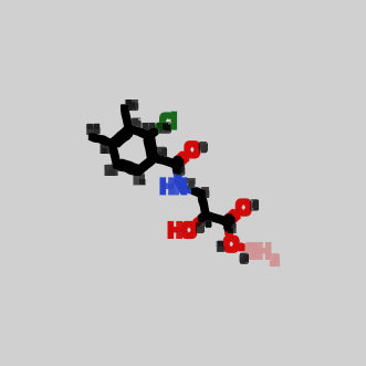 BOC(=O)C(O)CNC(=O)c1ccc(C)c(C)c1Cl